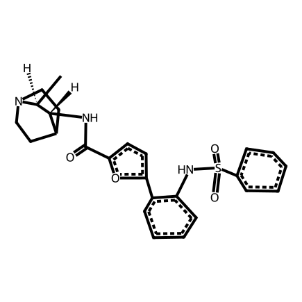 C[C@H]1[C@H](NC(=O)c2ccc(-c3ccccc3NS(=O)(=O)c3ccccc3)o2)C2CCN1CC2